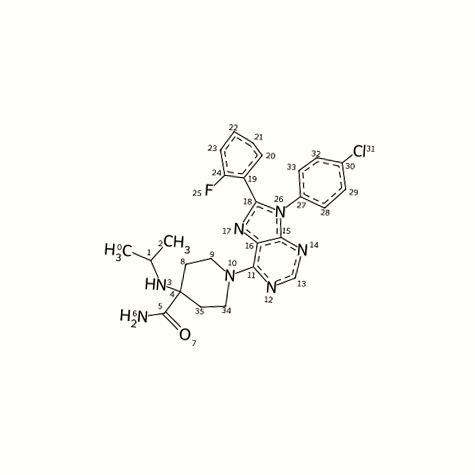 CC(C)NC1(C(N)=O)CCN(c2ncnc3c2nc(-c2ccccc2F)n3-c2ccc(Cl)cc2)CC1